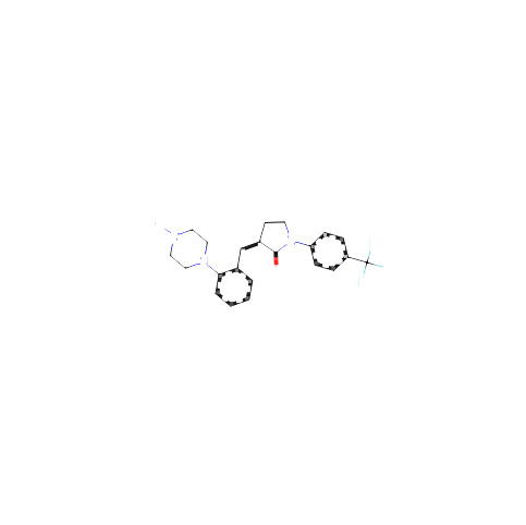 CN1CCN(c2ccccc2C=C2CCN(c3ccc(C(F)(F)F)cc3)C2=O)CC1